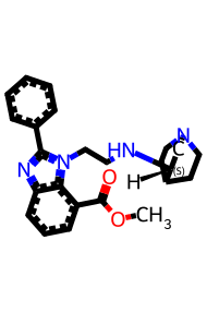 COC(=O)c1cccc2nc(-c3ccccc3)n(CCN[C@@H]3CN4CCC3CC4)c12